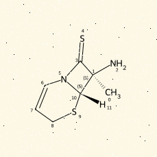 C[C@@]1(N)C(=S)N2C=CCS[C@H]21